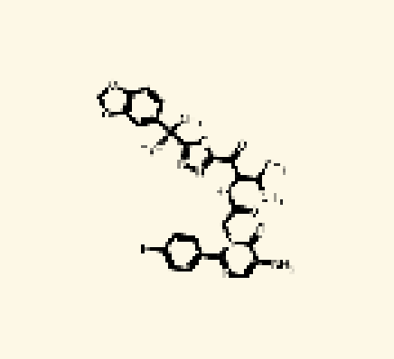 CC(C)C(NC(=O)Cn1c(-c2ccc(F)cc2)ncc(N)c1=O)C(=O)c1nnc(C(C)(C)c2ccc3c(c2)OCO3)o1